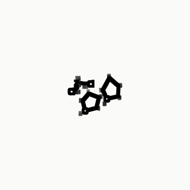 C1CCOC1.C1CCOC1.[Cl][Zr][Cl]